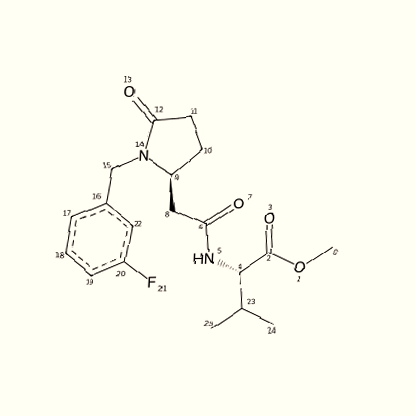 COC(=O)[C@@H](NC(=O)C[C@@H]1CCC(=O)N1Cc1cccc(F)c1)C(C)C